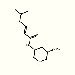 CN[C@H]1CNC[C@@H](NC(=O)/C=C/CN(C)C)C1